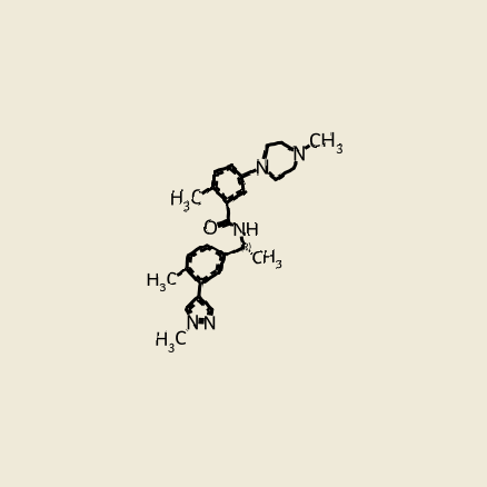 Cc1ccc(N2CCN(C)CC2)cc1C(=O)N[C@H](C)c1ccc(C)c(-c2cnn(C)c2)c1